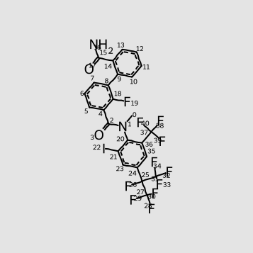 CN(C(=O)c1cccc(-c2ccccc2C(N)=O)c1F)c1c(I)cc(C(F)(C(F)(F)F)C(F)(F)F)cc1C(F)(F)F